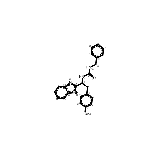 COc1ccc(CC(NC(=O)NCc2ccccc2)c2nc3ccccc3[nH]2)cc1